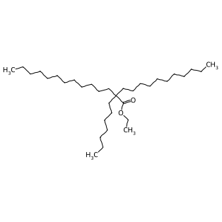 CCCCCCCCCCCCC(CCCCCCC)(CCCCCCCCCCC)C(=O)OCC